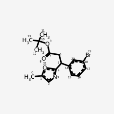 Cc1cnc(C(CC(=O)OC(C)(C)C)c2cccc(Br)c2)o1